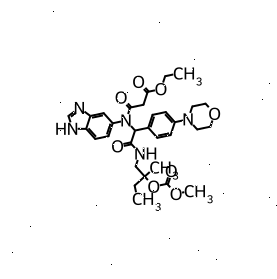 CCOC(=O)CC(=O)N(c1ccc2[nH]cnc2c1)C(C(=O)NCC(C)(CC)OC(=O)OC)c1ccc(N2CCOCC2)cc1